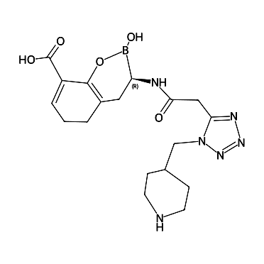 O=C(Cc1nnnn1CC1CCNCC1)N[C@H]1CC2=C(OB1O)C(C(=O)O)=CCC2